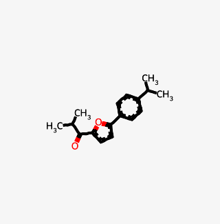 CC(C)C(=O)c1ccc(-c2ccc(C(C)C)cc2)o1